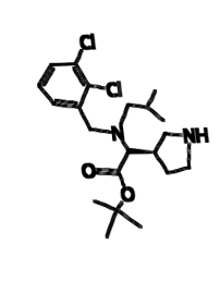 CC(C)CN(Cc1cccc(Cl)c1Cl)C(C(=O)OC(C)(C)C)[C@@H]1CCNC1